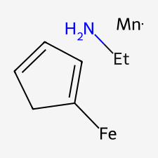 CCN.[Fe][C]1=CC=CC1.[Mn]